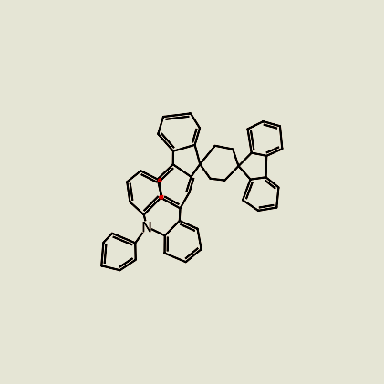 c1ccc(N(c2ccccc2)c2ccccc2-c2ccc3c(c2)C2(CCC4(CC2)c2ccccc2-c2ccccc24)c2ccccc2-3)cc1